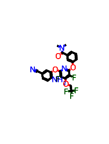 CN(C)C(=O)c1cccc(Oc2nc(Oc3cc(C#N)ccc3N)c(F)c(OCC(F)(F)F)c2F)c1